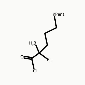 BC(CC)(CCCCCCCC)C(=O)Cl